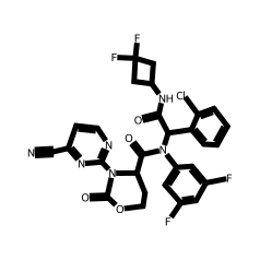 N#Cc1ccnc(N2C(=O)OCCC2C(=O)N(c2cc(F)cc(F)c2)C(C(=O)NC2CC(F)(F)C2)c2ccccc2Cl)n1